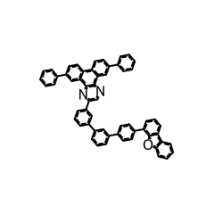 c1ccc(-c2ccc3c4ccc(-c5ccccc5)cc4c4nc(-c5cccc(-c6cccc(-c7ccc(-c8cccc9c8oc8ccccc89)cc7)c6)c5)cnc4c3c2)cc1